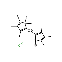 CCC1(C)C(C)=C(C)C(C)=[C]1[Zr+2][C]1=C(C)C(C)=C(C)C1(C)CC.[Cl-].[Cl-]